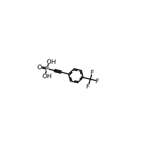 O=P(O)(O)C#Cc1ccc(C(F)(F)F)cc1